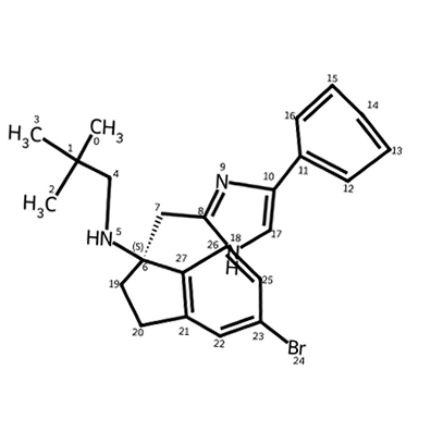 CC(C)(C)CN[C@]1(Cc2nc(-c3ccccc3)c[nH]2)CCc2cc(Br)ccc21